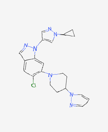 Clc1cc2cnn(-c3cnn(C4CC4)c3)c2cc1N1CCC(n2cccn2)CC1